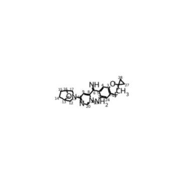 CC1(Oc2cc(C(=N)c3cc(N4CC5CCC(C4)O5)ncn3)c(N)cc2F)CC1